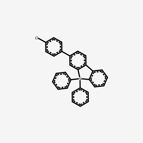 Clc1ccc(-c2ccc3c(c2)[Si](c2ccccc2)(c2ccccc2)c2ccccc2-3)cc1